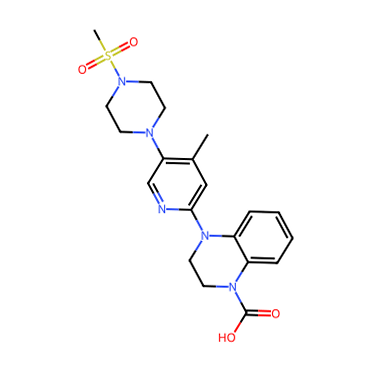 Cc1cc(N2CCN(C(=O)O)c3ccccc32)ncc1N1CCN(S(C)(=O)=O)CC1